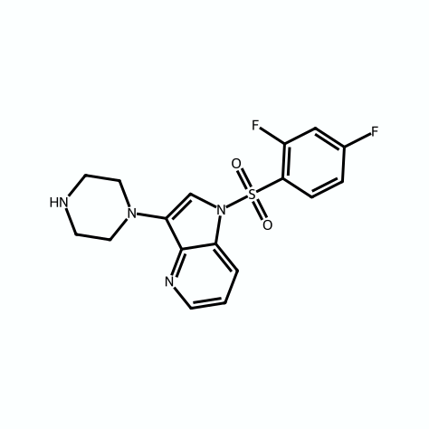 O=S(=O)(c1ccc(F)cc1F)n1cc(N2CCNCC2)c2ncccc21